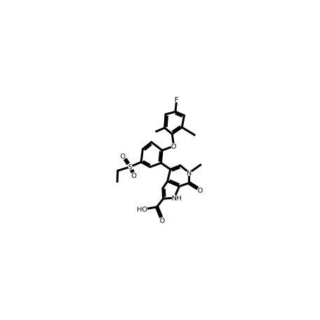 CCS(=O)(=O)c1ccc(Oc2c(C)cc(F)cc2C)c(-c2cn(C)c(=O)c3[nH]c(C(=O)O)cc23)c1